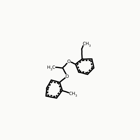 CCc1ccccc1OC(C)Oc1ccccc1C